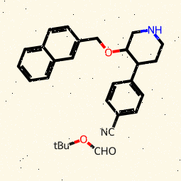 CC(C)(C)OC=O.N#Cc1ccc(C2CCNCC2OCc2ccc3ccccc3c2)cc1